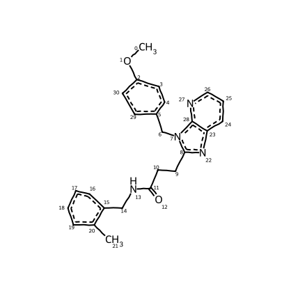 COc1ccc(Cn2c(CCC(=O)NCc3ccccc3C)nc3cccnc32)cc1